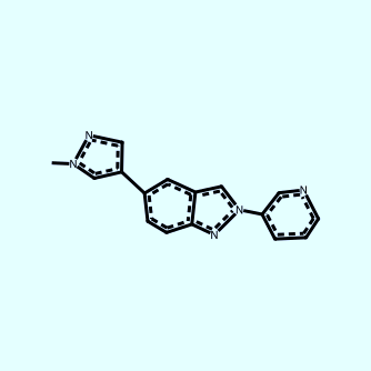 Cn1cc(-c2ccc3nn(-c4cccnc4)cc3c2)cn1